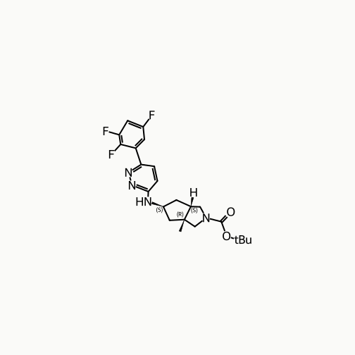 CC(C)(C)OC(=O)N1C[C@H]2C[C@H](Nc3ccc(-c4cc(F)cc(F)c4F)nn3)C[C@@]2(C)C1